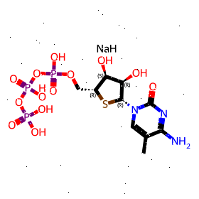 Cc1cn([C@@H]2S[C@H](COP(=O)(O)OP(=O)(O)OP(=O)(O)O)[C@@H](O)[C@H]2O)c(=O)nc1N.[NaH]